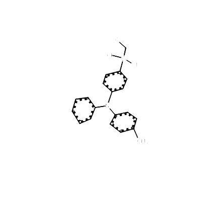 CC[Si](Cl)(Cl)c1ccc(N(c2ccccc2)c2ccc(C)cc2)cc1